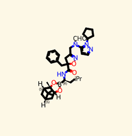 CC(C)C[C@H](NC(=O)C1(Cc2ccccc2)CC(CN(C=O)c2ccnn2C2CCCC2)=NO1)B1O[C@@H]2C[C@@H]3C[C@@H](C3(C)C)[C@]2(C)O1